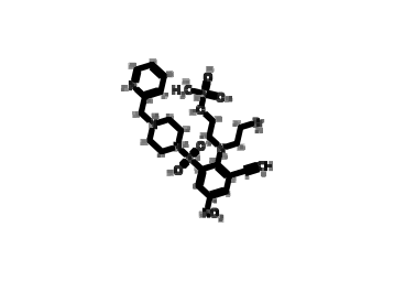 C#Cc1cc([N+](=O)[O-])cc(S(=O)(=O)N2CCN(Cc3ccccn3)CC2)c1N(CCBr)CCOS(C)(=O)=O